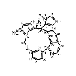 Cn1cncc1[C@]1(N)c2ccc(C#N)c(c2)COc2cccc(c2)-c2nccc3ccc1cc23